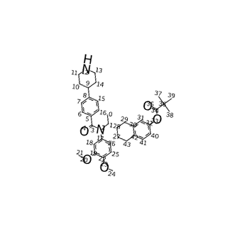 CCN(C(=O)c1ccc(C2CCNCC2)cc1)c1cc(OC)c(OC)cc1[C@@H]1CCc2cc(OC(=O)C(C)(C)C)ccc2C1